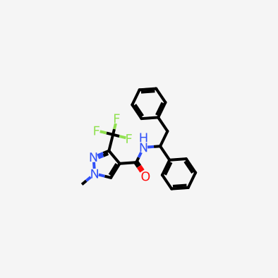 Cn1cc(C(=O)NC(Cc2ccccc2)c2ccccc2)c(C(F)(F)F)n1